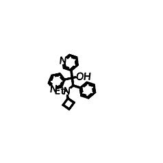 CCN(C1CCC1)C(c1ccccc1)C(O)(c1cccnc1)c1cccnc1